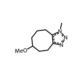 COC1CCCc2c(nnn2C)CC1